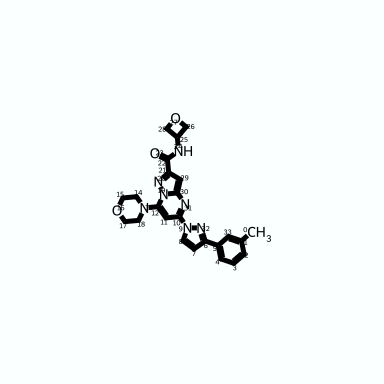 Cc1cccc(-c2ccn(-c3cc(N4CCOCC4)n4nc(C(=O)NC5COC5)cc4n3)n2)c1